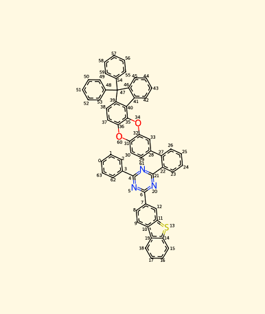 c1ccc(-c2nc(-c3ccc4c(c3)sc3ccccc34)nc(-c3ccccc3-c3ccc4c(c3)Oc3c(ccc5c3-c3ccccc3C5(c3ccccc3)c3ccccc3)O4)n2)cc1